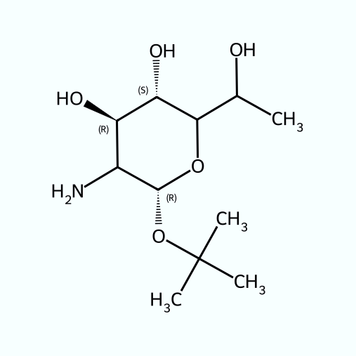 CC(O)C1O[C@H](OC(C)(C)C)C(N)[C@@H](O)[C@@H]1O